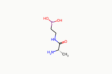 C[C@H](N)C(=O)NCCP(O)O